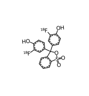 O=S1(=O)OC(c2ccc(O)c([18F])c2)(c2ccc(O)c([18F])c2)c2ccccc21